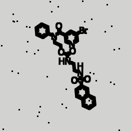 O=C(NCCNS(=O)(=O)c1ccc2ccccc2c1)OCCN(C(=O)c1cncc(Br)c1)c1ccccc1